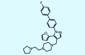 Fc1ccc(-c2ccc(-n3ncc(CN4CCN(CCN5CCCC5)CC4)c3-c3ccco3)cc2)cc1